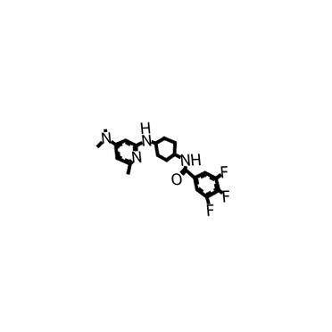 Cc1cc(N(C)C)cc(NC2CCC(NC(=O)c3cc(F)c(F)c(F)c3)CC2)n1